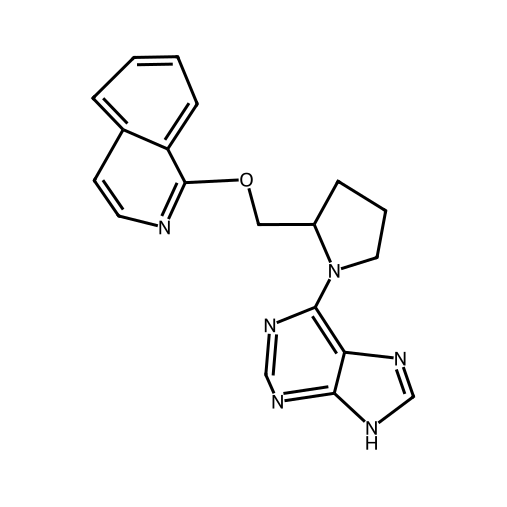 c1ccc2c(OCC3CCCN3c3ncnc4[nH]cnc34)nccc2c1